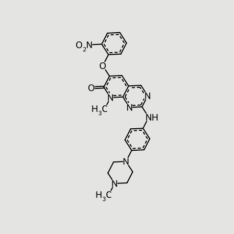 CN1CCN(c2ccc(Nc3ncc4cc(Oc5ccccc5[N+](=O)[O-])c(=O)n(C)c4n3)cc2)CC1